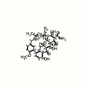 COc1ccc(CNC(C)C)cc1-c1ccc(O)c2c1C[C@@H]1C[C@@H]3[C@@H](N(C)C)C(O)=C(C(N)=O)C(=O)[C@]3(O)C(O)=C1C2=O